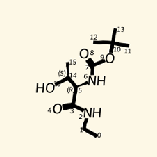 CCNC(=O)[C@H](NC(=O)OC(C)(C)C)[C@H](C)O